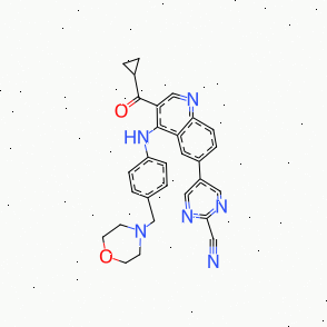 N#Cc1ncc(-c2ccc3ncc(C(=O)C4CC4)c(Nc4ccc(CN5CCOCC5)cc4)c3c2)cn1